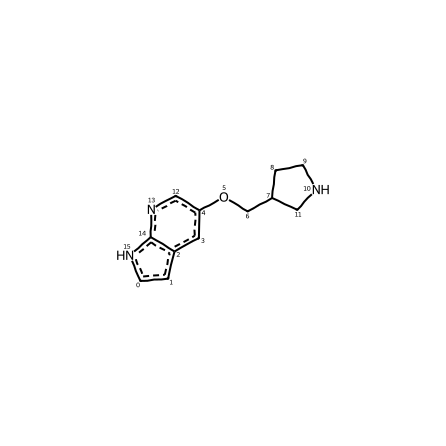 c1cc2cc(OCC3CCNC3)cnc2[nH]1